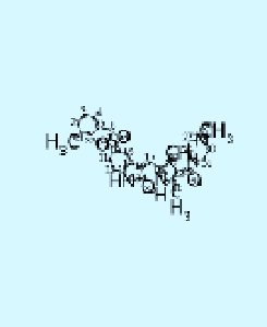 Cc1cccc(CS(=O)(=O)c2ccc3c(c2)/C(=C/c2[nH]c(C)c(C(=O)N4CCN(C)CC4)c2C)C(=O)N3)c1